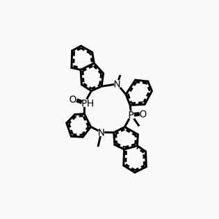 CN1c2cc3ccccc3cc2[PH](=O)c2ccccc2N(C)c2cc3ccccc3cc2P(C)(=O)c2ccccc21